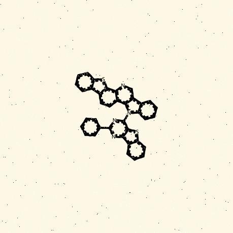 c1ccc(-c2nc(-n3c4ccccc4c4cnc5c(ccc6c7ccccc7sc65)c43)c3sc4ccccc4c3n2)cc1